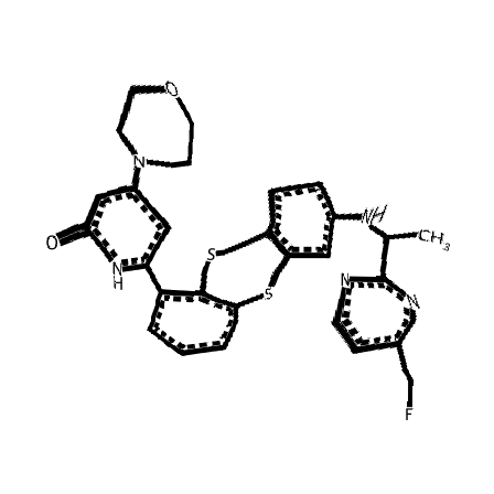 CC(Nc1ccc2c(c1)Sc1cccc(-c3cc(N4CCOCC4)cc(=O)[nH]3)c1S2)c1nccc(CF)n1